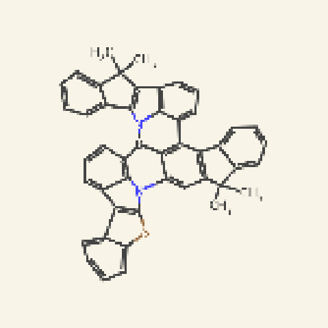 CC1(C)c2ccccc2-c2c1cc1c3c2-c2cccc4c5c(n(c24)B3c2cccc3c4c6ccccc6sc4n-1c23)-c1ccccc1C5(C)C